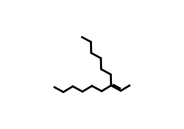 CC=C(CCCCCC)CCCCCC